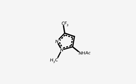 CC(=O)Nc1cc(C(F)(F)F)nn1C